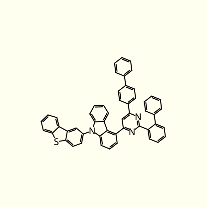 c1ccc(-c2ccc(-c3cc(-c4cccc5c4c4ccccc4n5-c4ccc5sc6ccccc6c5c4)nc(-c4ccccc4-c4ccccc4)n3)cc2)cc1